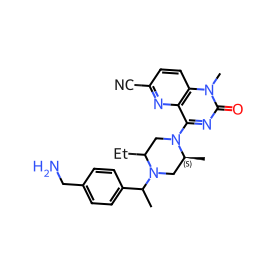 CCC1CN(c2nc(=O)n(C)c3ccc(C#N)nc23)[C@@H](C)CN1C(C)c1ccc(CN)cc1